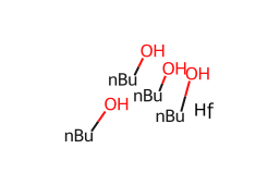 CCCCO.CCCCO.CCCCO.CCCCO.[Hf]